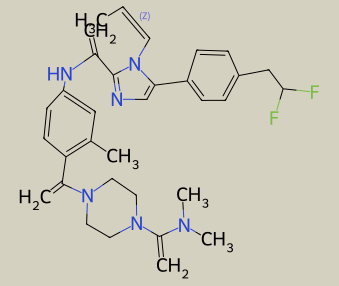 C=C(Nc1ccc(C(=C)N2CCN(C(=C)N(C)C)CC2)c(C)c1)c1ncc(-c2ccc(CC(F)F)cc2)n1/C=C\C